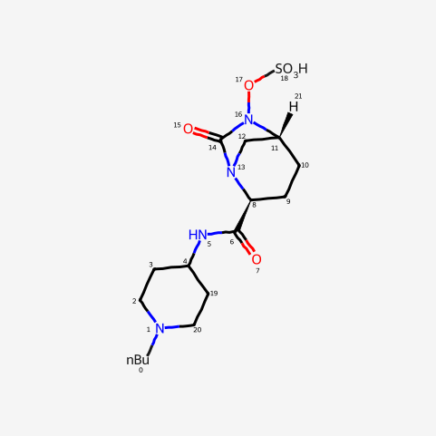 CCCCN1CCC(NC(=O)[C@@H]2CC[C@@H]3CN2C(=O)N3OS(=O)(=O)O)CC1